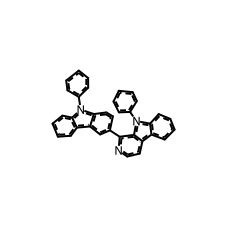 c1ccc(-n2c3ccccc3c3cc(-c4nccc5c6ccccc6n(-c6ccccc6)c45)ccc32)cc1